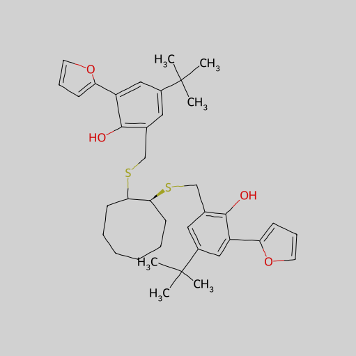 CC(C)(C)c1cc(CSC2CCCCCC[C@@H]2SCc2cc(C(C)(C)C)cc(-c3ccco3)c2O)c(O)c(-c2ccco2)c1